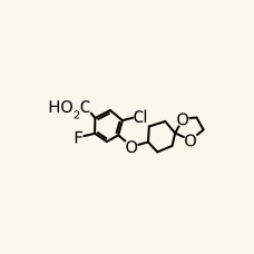 O=C(O)c1cc(Cl)c(OC2CCC3(CC2)OCCO3)cc1F